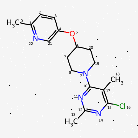 Cc1ccc(OC2CCN(c3nc(C)nc(Cl)c3C)CC2)cn1